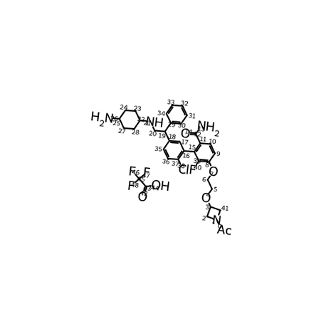 CC(=O)N1CC(OCCOc2ccc(C(N)=O)c(-c3cc(C(CNC4CCC(N)CC4)c4ccccc4)ccc3Cl)c2F)C1.O=C(O)C(F)(F)F